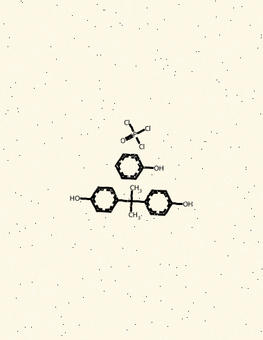 CC(C)(c1ccc(O)cc1)c1ccc(O)cc1.O=P(Cl)(Cl)Cl.Oc1ccccc1